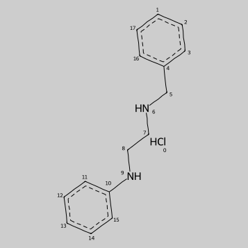 Cl.c1ccc(CNCCNc2ccccc2)cc1